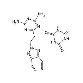 Nc1nc(N)nc(CCn2nc3ccccc3n2)n1.O=c1[nH]c(=O)[nH]c(=O)[nH]1